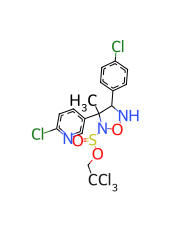 CC1(c2ccc(Cl)nc2)C(c2ccc(Cl)cc2)NON1S(=O)OCC(Cl)(Cl)Cl